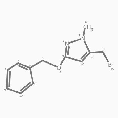 Cn1nc(OCc2ccccc2)cc1CBr